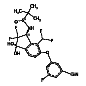 CC(C)(C)[S+]([O-])N[C@H]1c2c(ccc(Oc3cc(F)cc(C#N)c3)c2C(F)F)S(O)(O)C1(F)F